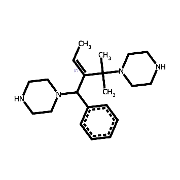 C/C=C(/C(c1ccccc1)N1CCNCC1)C(C)(C)N1CCNCC1